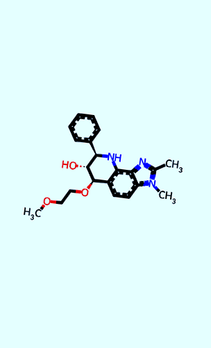 COCCO[C@@H]1c2ccc3c(nc(C)n3C)c2N[C@H](c2ccccc2)[C@H]1O